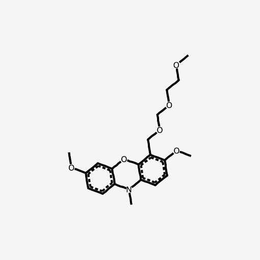 COCCOCOCc1c(OC)ccc2c1Oc1cc(OC)ccc1N2C